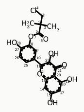 CC(C)(CCl)C(=O)Oc1cc(-c2oc3cc(O)cc(O)c3c(=O)c2O)ccc1O